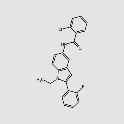 CCn1c(-c2ccccc2F)cc2cc(NC(=O)c3ccccc3Cl)ccc21